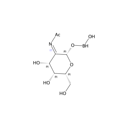 CC(=O)/N=C1\[C@H](OBO)O[C@H](CO)[C@H](O)[C@@H]1O